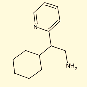 NCC(c1ccccn1)C1CCCCC1